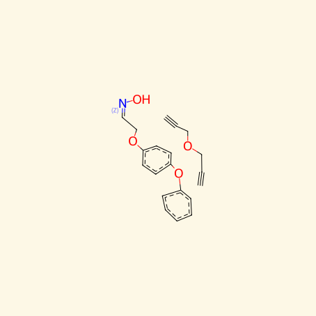 C#CCOCC#C.O/N=C\COc1ccc(Oc2ccccc2)cc1